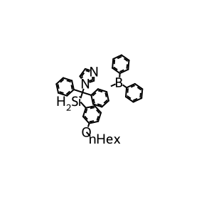 CB(c1ccccc1)c1ccccc1.CCCCCCOc1cccc([SiH2]C(c2ccccc2)(c2ccccc2)n2ccnc2)c1